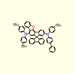 CC(C)(C)c1ccc(N(c2ccc(-c3ccccc3)cc2)c2ccc3c(c2)C2(c4ccccc4-c4ccccc42)c2cc(N(c4ccc(C(C)(C)C)cc4)c4ccc(C(C)(C)C)cc4)c4c(oc5ccccc54)c2-3)cc1